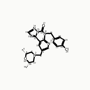 C[C@@H]1CN(Cc2cnc3c(c2)c2ncnn2c(=O)n3Cc2ccc(Cl)cc2)C[C@H](C)O1